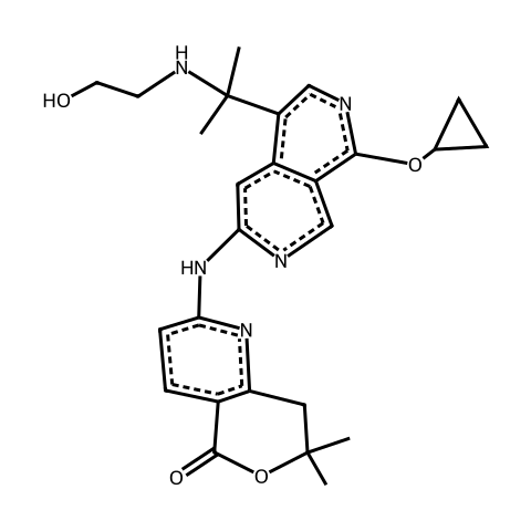 CC1(C)Cc2nc(Nc3cc4c(C(C)(C)NCCO)cnc(OC5CC5)c4cn3)ccc2C(=O)O1